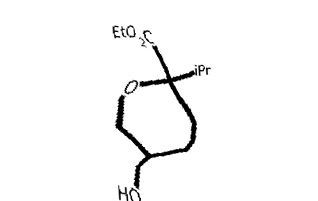 CCOC(=O)C1(C(C)C)CCC(O)CO1